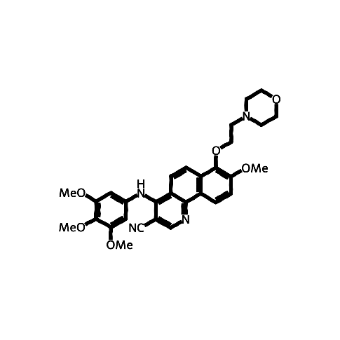 COc1cc(Nc2c(C#N)cnc3c2ccc2c(OCCN4CCOCC4)c(OC)ccc23)cc(OC)c1OC